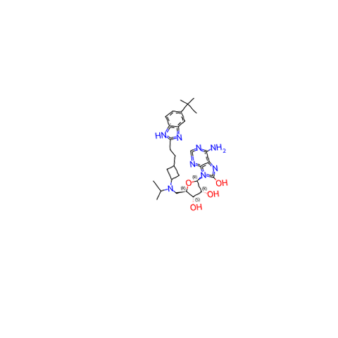 CC(C)N(C[C@H]1O[C@@H](n2c(O)nc3c(N)ncnc32)[C@H](O)[C@@H]1O)C1CC(CCc2nc3cc(C(C)(C)C)ccc3[nH]2)C1